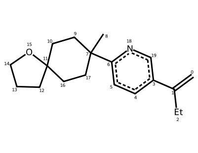 C=C(CC)c1ccc(C2(C)CCC3(CCCO3)CC2)nc1